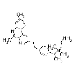 Cc1ccc2c(c1)nc(N)c1ncc(CCc3ccc(C(C)[N+](C)(C)CCN)cc3)cc12